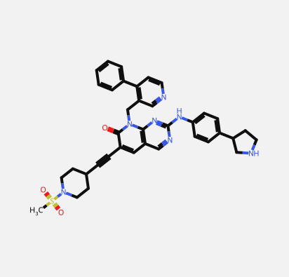 CS(=O)(=O)N1CCC(C#Cc2cc3cnc(Nc4ccc(C5CCNC5)cc4)nc3n(Cc3cnccc3-c3ccccc3)c2=O)CC1